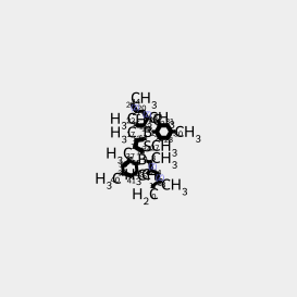 C=C/C(C)=C\C(C)=C(/C)B(c1ccc(B(C(=CC)/C(C)=C\C(C)=C/C)c2c(C)cc(C)cc2C)s1)C1C(C)=CC(C)=CC1C